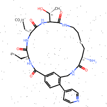 CC(C)C[C@@H]1NC(=O)c2ccc(-c3ccncc3)c(c2)CNC(=O)[C@@H](N)CCCCNC(=O)C([C@@H](C)O)NC(=O)[C@@H](CC(=O)O)NC1=O